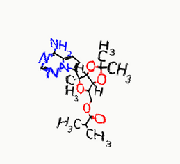 CC(C)C(=O)OC[C@H]1O[C@@](C)(c2ccc3c(N)ncnn23)[C@@H]2OC(C)(C)O[C@@H]21